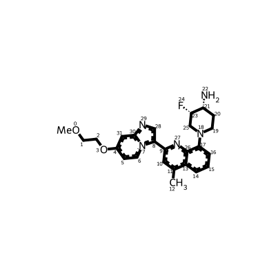 COCCOc1ccn2c(-c3cc(C)c4cccc(N5CC[C@@H](N)[C@@H](F)C5)c4n3)cnc2c1